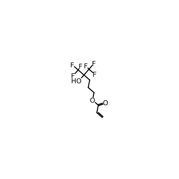 C=CC(=O)OCCCC(O)(C(F)(F)F)C(F)(F)F